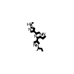 CC[C@@H](C)n1cc(-c2nc(-c3cnn(PC)c3)cn3nccc23)cn1